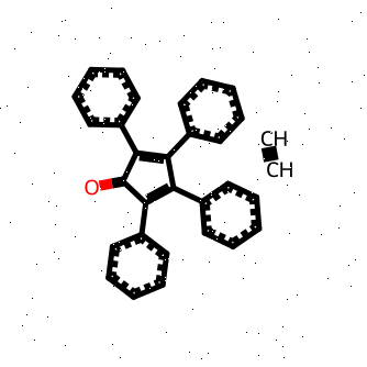 C#C.O=C1C(c2ccccc2)=C(c2ccccc2)C(c2ccccc2)=C1c1ccccc1